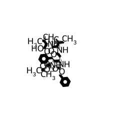 CC[C@H](C)[C@H](NC(=O)C[C@H](NC(=O)OCc1ccccc1)[C@H](Cc1ccccc1)NC(=O)OC(C)(C)C)C(=O)N[C@H](C(=O)O)C(C)C